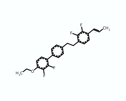 C/C=C/c1ccc(CCc2ccc(-c3ccc(OCC)c(F)c3F)cc2)c(F)c1F